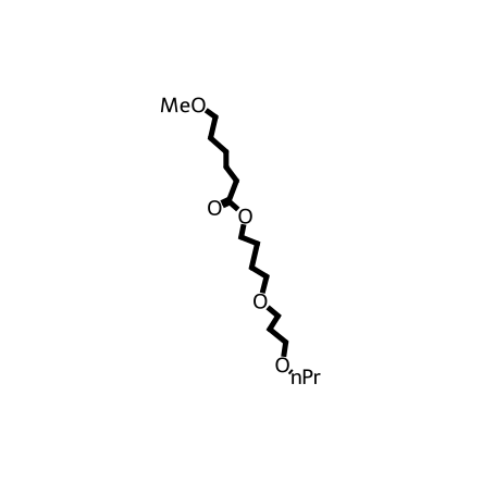 CCCOCCCOCCCCOC(=O)CCCCCOC